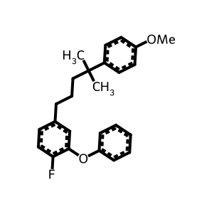 COc1ccc(C(C)(C)CCCc2ccc(F)c(Oc3ccccc3)c2)cc1